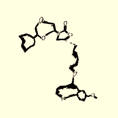 COc1ccc2nccc(OC/C=C/C[C@@H]3CN(C4=COC=C(C5=CC=CCC5)O4)C(=O)O3)c2c1